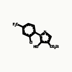 CCOC(=O)c1cnn(-c2ccc(C(F)(F)F)cc2Cl)c1O